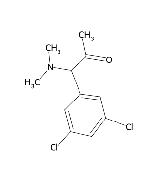 CC(=O)C(c1cc(Cl)cc(Cl)c1)N(C)C